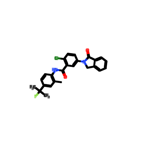 Cc1cc(C(F)(C(F)(F)F)C(F)(F)F)ccc1NC(=O)c1cc(N2Cc3ccccc3C2=O)ccc1Cl